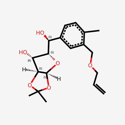 C=CCOCc1cc([C@H](O)[C@@H]2O[C@H]3OC(C)(C)O[C@H]3[C@@H]2O)ccc1C